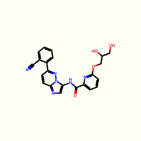 N#Cc1ccccc1-c1ccc2ncc(NC(=O)c3cccc(OCC(O)CO)n3)n2n1